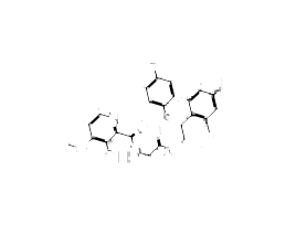 COc1ccnc(C(=O)N[C@@H](C)C(=O)O[C@@H](C)[C@H](Sc2ccc(F)cc2)c2ccc(F)cc2C)c1O